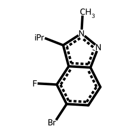 CC(C)c1c2c(F)c(Br)ccc2nn1C